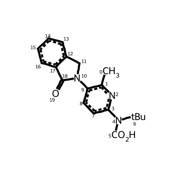 Cc1nc(N(C(=O)O)C(C)(C)C)ccc1N1Cc2ccccc2C1=O